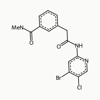 CNC(=O)c1cccc(CC(=O)Nc2cc(Br)c(Cl)cn2)c1